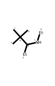 C[CH]NC(CC)C(C)(C)C